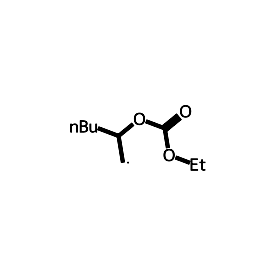 [CH2]C(CCCC)OC(=O)OCC